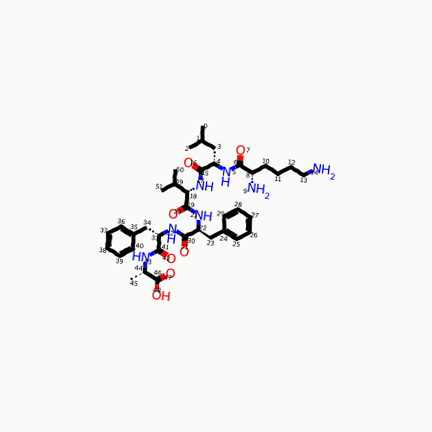 CC(C)C[C@H](NC(=O)[C@@H](N)CCCCN)C(=O)N[C@H](C(=O)N[C@@H](Cc1ccccc1)C(=O)N[C@@H](Cc1ccccc1)C(=O)N[C@@H](C)C(=O)O)C(C)C